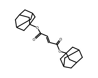 O=C(C=CC(=O)OC12CC3CC(CC(C3)C1)C2)OC12CC3CC(CC(C3)C1)C2